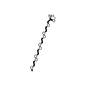 COCCOOCCOOCCOOCCOCC(N)=O